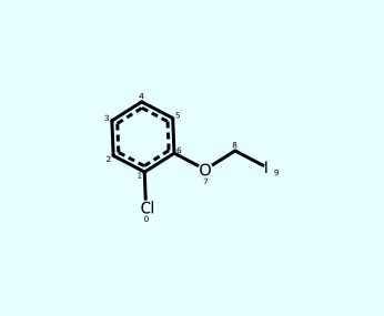 Clc1ccccc1OCI